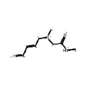 CNC(=O)CN(C)C/C=C/C=O